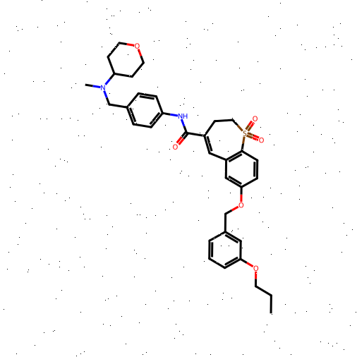 CCCOc1cccc(COc2ccc3c(c2)C=C(C(=O)Nc2ccc(CN(C)C4CCOCC4)cc2)CCS3(=O)=O)c1